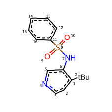 CC(C)(C)c1ccncc1NS(=O)(=O)c1ccccc1